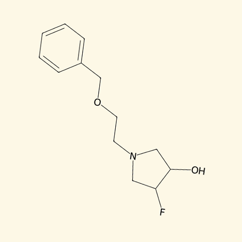 OC1CN(CCOCc2ccccc2)CC1F